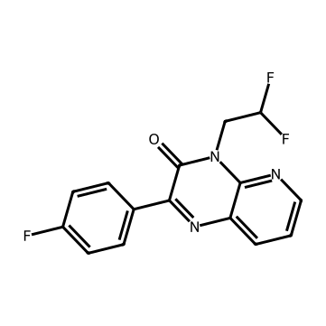 O=c1c(-c2ccc(F)cc2)nc2cccnc2n1CC(F)F